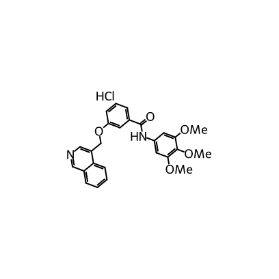 COc1cc(NC(=O)c2cccc(OCc3cncc4ccccc34)c2)cc(OC)c1OC.Cl